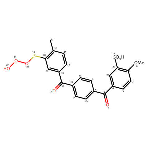 COc1ccc(C(=O)c2ccc(C(=O)c3ccc(C)c(SOOO)c3)cc2)cc1S(=O)(=O)O